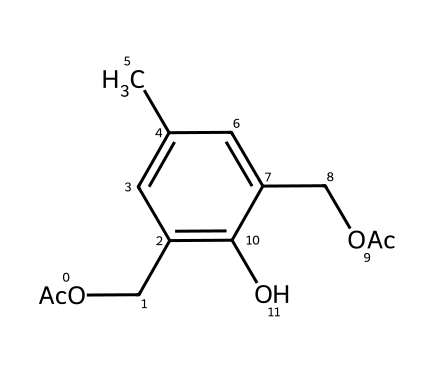 CC(=O)OCc1cc(C)cc(COC(C)=O)c1O